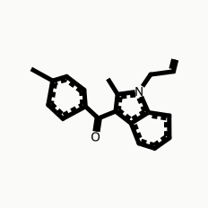 C=CCn1c(C)c(C(=O)c2ccc(C)cc2)c2ccccc21